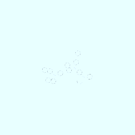 C1=CC2c3cc(N(c4ccc(-c5ccccc5)cc4)c4ccc(-c5ccc(N(c6ccc7ccccc7c6)c6cccc7ccccc67)cc5)c5ccccc45)ccc3N(c3ccccc3)C2C=C1